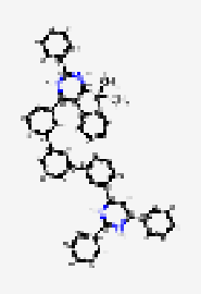 C[Si]1(C)c2ccccc2-c2c(-c3cccc(-c4cccc(-c5cccc(-c6cc(-c7ccccc7)nc(-c7ccccc7)n6)c5)c4)c3)nc(-c3ccccc3)nc21